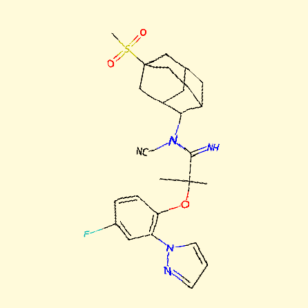 CC(C)(Oc1ccc(F)cc1-n1cccn1)C(=N)N(C#N)C1C2CC3CC1CC(S(C)(=O)=O)(C3)C2